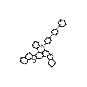 c1ccc(-c2ccc(-c3ccc(N(c4ccc5c(c4)sc4ccccc45)c4ccccc4-c4cccc5oc6c7ccccc7ccc6c45)cc3)cc2)cc1